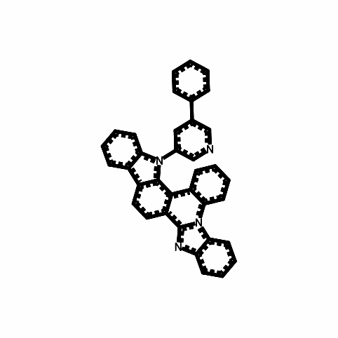 c1ccc(-c2cncc(-n3c4ccccc4c4ccc5c(c6ccccc6n6c7ccccc7nc56)c43)c2)cc1